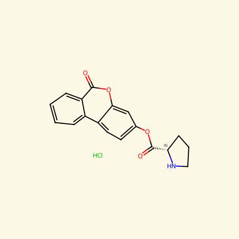 Cl.O=C(Oc1ccc2c(c1)oc(=O)c1ccccc12)[C@@H]1CCCN1